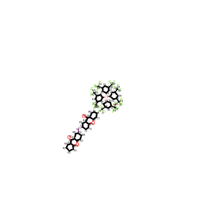 FC(F)(F)c1cc([B-](c2cc(C(F)(F)F)cc(C(F)(F)F)c2)(c2cc(C(F)(F)F)cc(C(F)(F)F)c2)c2cc(C(F)(F)F)cc(C(F)(F)F)c2)cc(C(F)(F)F)c1.O=c1c2ccccc2oc2ccc([I+]c3ccc4oc5ccccc5c(=O)c4c3)cc12